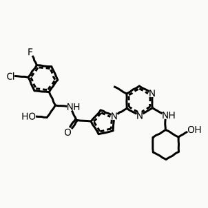 Cc1cnc(NC2CCCCC2O)nc1-n1ccc(C(=O)NC(CO)c2ccc(F)c(Cl)c2)c1